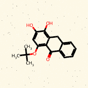 CC(C)(C)Oc1cc(O)c(O)c2c1C(=O)c1ccccc1C2